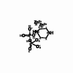 C1CNCCN1.O=P([O-])([O-])OP(=O)([O-])[O-].[Zn+2].[Zn+2]